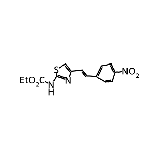 CCOC(=O)Nc1nc(/C=C/c2ccc([N+](=O)[O-])cc2)cs1